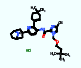 CC(C)N1C2CCC1CC(c1ccc(NC(=O)c3nc(C#N)cn3COCC[Si](C)(C)C)c(C3=CCC(C)(C)CC3)n1)C2.Cl